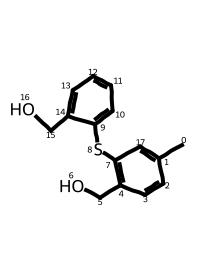 Cc1ccc(CO)c(Sc2ccccc2CO)c1